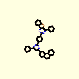 c1ccc(-c2cc(-c3ccc4ccc5ccccc5c4c3)nc(-c3ccc(-c4nc(-c5ccccc5)c5sc6ccccc6c5n4)cc3)n2)cc1